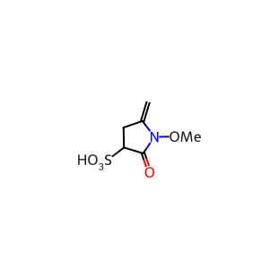 C=C1CC(S(=O)(=O)O)C(=O)N1OC